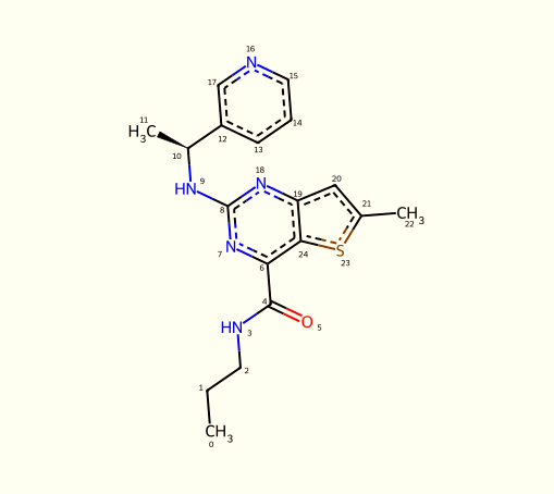 CCCNC(=O)c1nc(N[C@@H](C)c2cccnc2)nc2cc(C)sc12